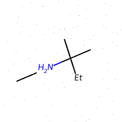 CC.CCC(C)(C)N